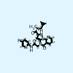 CN(CC1CC1)C(=O)C1C=C2N(CC(=O)Nc3ccc(F)cn3)C(=O)c3cccnc3N2N1